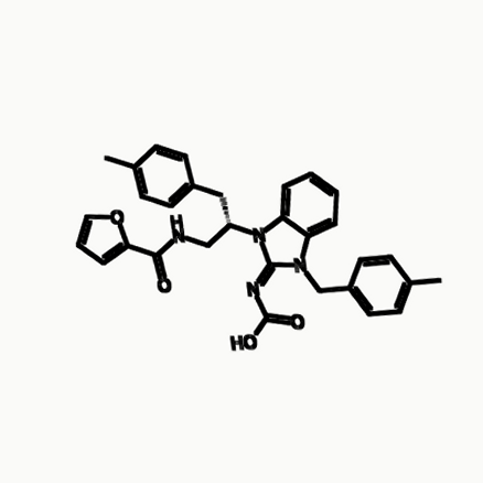 Cc1ccc(C[C@@H](CNC(=O)c2ccco2)n2/c(=N/C(=O)O)n(Cc3ccc(C)cc3)c3ccccc32)cc1